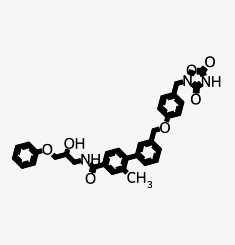 Cc1cc(C(=O)NCC(O)COc2ccccc2)ccc1-c1cccc(COc2ccc(Cn3oc(=O)[nH]c3=O)cc2)c1